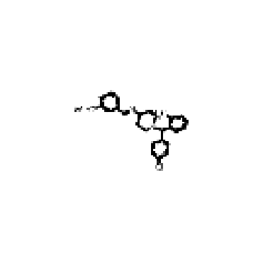 COc1cccc(/C=N/C2CCN(C(c3ccc(Cl)cc3)c3ccccc3C)CC2)c1